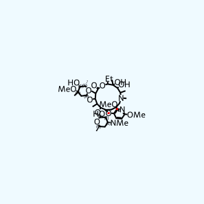 CCC1OC(=O)C(C)C(O[C@H]2C[C@@](C)(OC)[C@@H](O)[C@H](C)O2)C(C)C(O[C@@H]2O[C@H](C)C[C@H](NC)[C@H]2Oc2ccc(OC)nc2OC)C(C)(O)CC(C)CN(C)C(C)C(O)C1(C)O